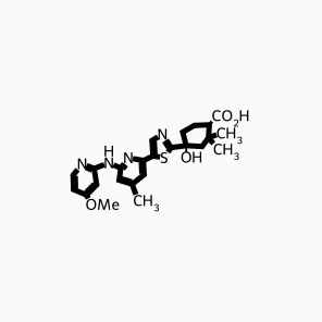 COc1ccnc(Nc2cc(C)cc(-c3cnc([C@@]4(O)CC[C@@H](C(=O)O)C(C)(C)C4)s3)n2)c1